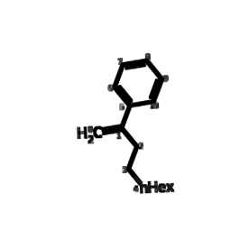 C=C(CCCCCCCC)c1ccccc1